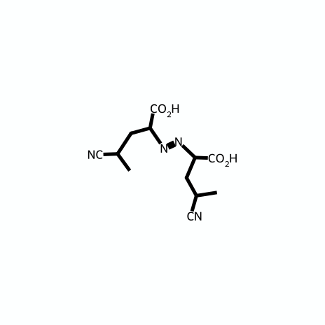 CC(C#N)CC(N=NC(CC(C)C#N)C(=O)O)C(=O)O